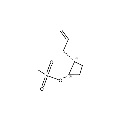 C=CC[C@@H]1CC[C@@H]1OS(C)(=O)=O